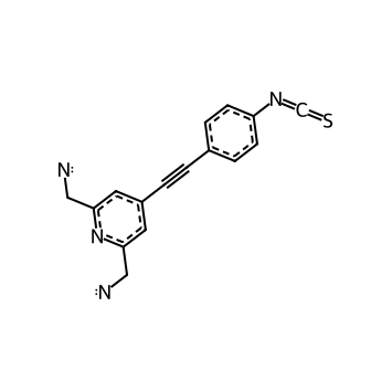 [N]Cc1cc(C#Cc2ccc(N=C=S)cc2)cc(C[N])n1